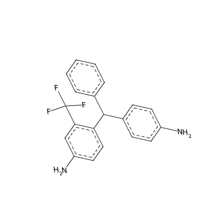 Nc1ccc(C(c2ccccc2)c2ccc(N)cc2C(F)(F)F)cc1